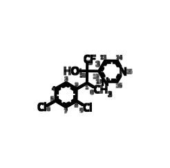 CC(c1ccc(Cl)cc1Cl)C(O)(c1ccncn1)C(F)(F)F